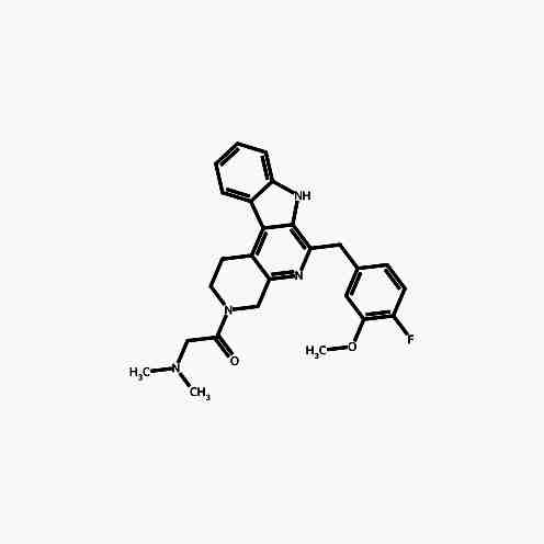 COc1cc(Cc2nc3c(c4c2[nH]c2ccccc24)CCN(C(=O)CN(C)C)C3)ccc1F